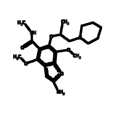 CNC(=O)c1c(OC(C)CN2CCCCC2)c(OC)c2oc(N)cc2c1OC